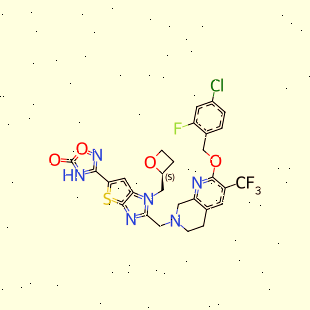 O=c1[nH]c(-c2cc3c(nc(CN4CCc5cc(C(F)(F)F)c(OCc6ccc(Cl)cc6F)nc5C4)n3C[C@@H]3CCO3)s2)no1